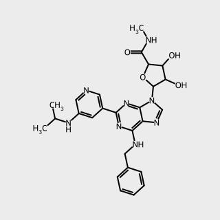 CNC(=O)C1OC(n2cnc3c(NCc4ccccc4)nc(-c4cncc(NC(C)C)c4)nc32)C(O)C1O